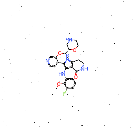 COc1c(F)cccc1Nc1c(-c2ccncc2OCC2CNCCO2)[nH]c2c1C(=O)NCC2